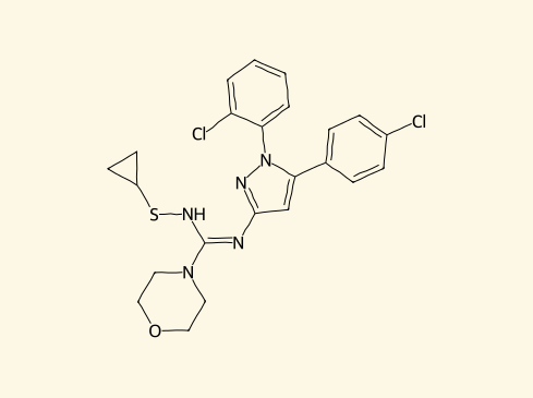 Clc1ccc(-c2cc(N=C(NSC3CC3)N3CCOCC3)nn2-c2ccccc2Cl)cc1